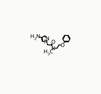 CN(CCOc1ccccc1)C(=O)Cn1cc(N)cn1